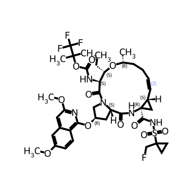 CC[C@@H]1O[C@H](C)CC/C=C\[C@@H]2C[C@@]2(C(=O)NS(=O)(=O)C2(CF)CC2)NC(=O)[C@@H]2C[C@@H](Oc3nc(OC)cc4cc(OC)ccc34)CN2C(=O)[C@H]1NC(=O)OC(C)(C)C(F)(F)F